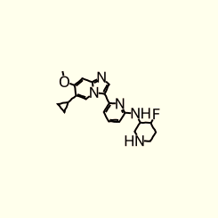 COc1cc2ncc(-c3cccc(NC4CNCCC4F)n3)n2cc1C1CC1